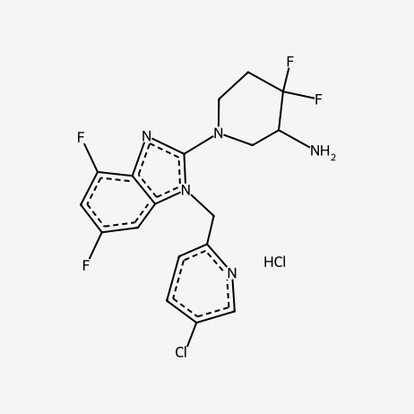 Cl.NC1CN(c2nc3c(F)cc(F)cc3n2Cc2ccc(Cl)cn2)CCC1(F)F